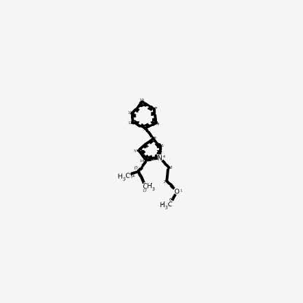 COCCn1cc(-c2ccccc2)cc1C(C)C